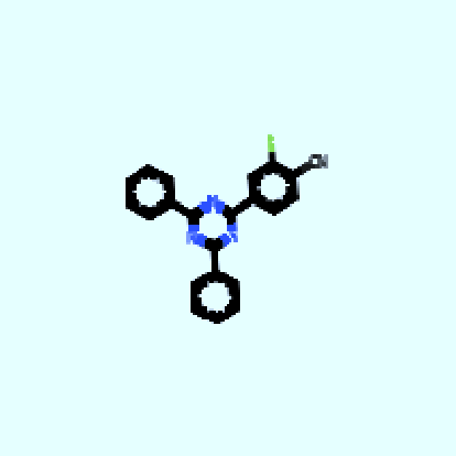 N#Cc1ccc(-c2nc(-c3ccccc3)nc(-c3ccccc3)n2)cc1F